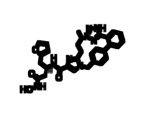 CCCCc1nc(C(=O)N[C@@H](CC(=O)NO)Cc2ccco2)cn1Cc1ccc(-c2ccccc2-c2nnn[nH]2)cc1